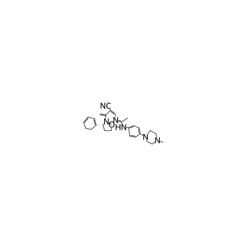 C=C(/C(C#N)=C\N=C(/C)Nc1ccc(N2CCN(C)CC2)cc1)N1OCC[C@@H]1C1=CC=CCC1